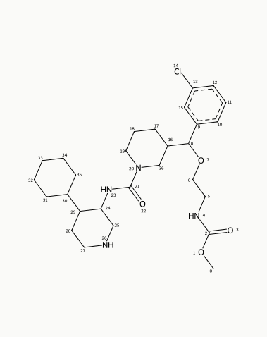 COC(=O)NCCOC(c1cccc(Cl)c1)C1CCCN(C(=O)NC2CNCCC2C2CCCCC2)C1